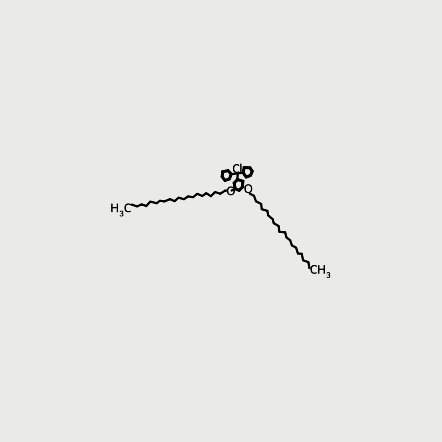 CCCCCCCCCCCCCCCCCCCCCCOc1cc(OCCCCCCCCCCCCCCCCCCCCCC)cc(C(Cl)(c2ccccc2)c2ccccc2)c1